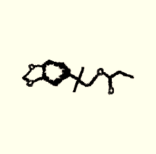 CCC(=O)OCC(C)(C)c1ccc2c(c1)OCO2